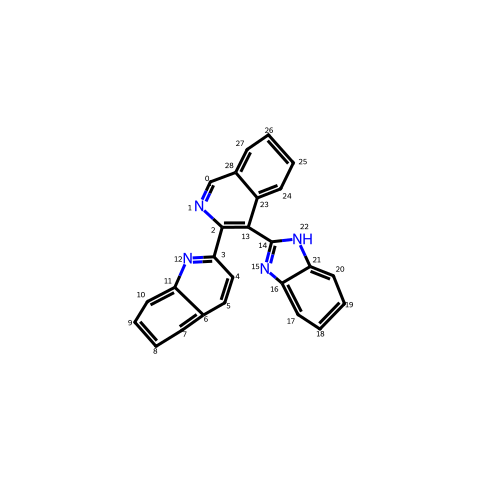 [c]1nc(-c2ccc3ccccc3n2)c(-c2nc3ccccc3[nH]2)c2ccccc12